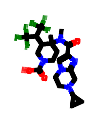 CN(C(=O)c1cn2c(n1)CN(C1CC1)CC2)C1(C)CCN(C(=O)O)CC1C(C(F)(F)F)C(F)(F)F